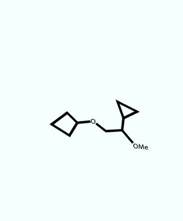 COC([CH]OC1CCC1)C1CC1